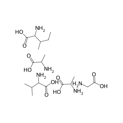 CC(C)C(N)C(=O)O.CC(N)C(=O)O.CC(N)C(=O)O.CCC(C)C(N)C(=O)O.NCC(=O)O